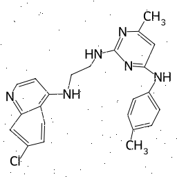 Cc1ccc(Nc2cc(C)nc(NCCNc3ccnc4cc(Cl)ccc34)n2)cc1